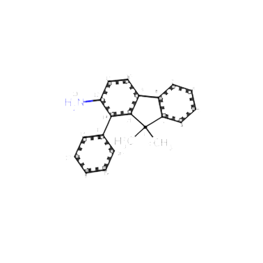 CC1(C)c2ccccc2-c2ccc(N)c(-c3ccccc3)c21